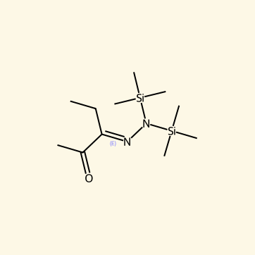 CC/C(=N\N([Si](C)(C)C)[Si](C)(C)C)C(C)=O